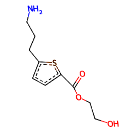 NCCCc1ccc(C(=O)OCCO)s1